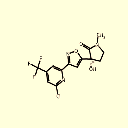 CN1CC[C@@](O)(c2cc(-c3cc(C(F)(F)F)cc(Cl)n3)no2)C1=O